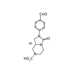 O=Cc1ccc(N2C[C@@H]3CN(C(=O)O)CCN3C2=O)cc1